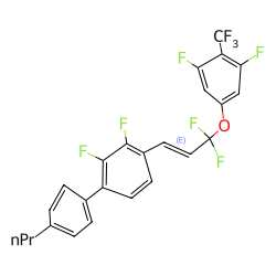 CCCc1ccc(-c2ccc(/C=C/C(F)(F)Oc3cc(F)c(C(F)(F)F)c(F)c3)c(F)c2F)cc1